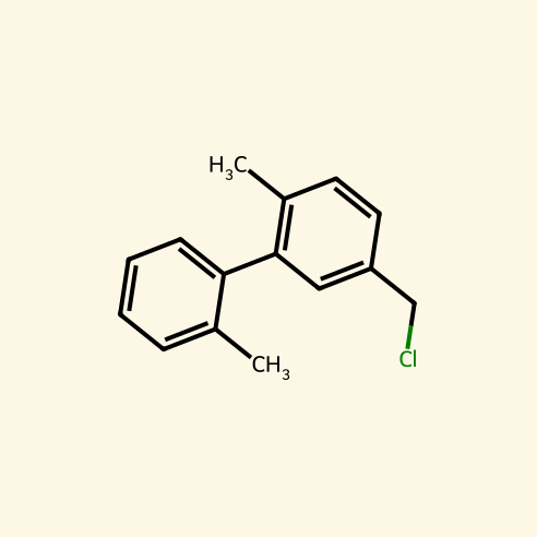 Cc1ccccc1-c1cc(CCl)ccc1C